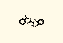 CC(Oc1ccccc1C=O)C(=O)OC(C)c1ccccc1